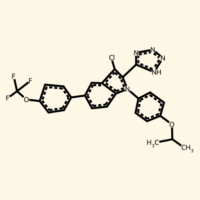 CC(C)Oc1ccc(-n2c(-c3nnn[nH]3)c(Cl)c3cc(-c4ccc(OC(F)(F)F)cc4)ccc32)cc1